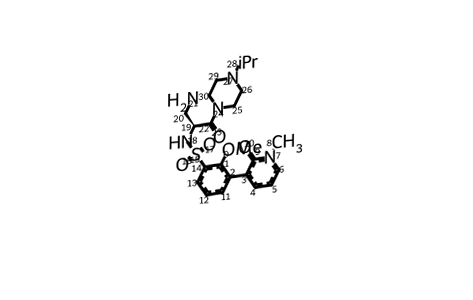 COc1c(-c2cccn(C)c2=O)cccc1S(=O)(=O)N[C@@H](CN)C(=O)N1CCN(C(C)C)CC1